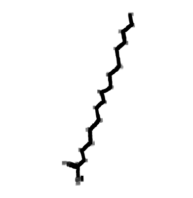 [CH2]CCCCCCCCC[CH]CCCCCC(=O)O